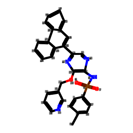 Cc1ccc(S(=O)(=O)Nc2ncc(-c3cc4ccccc4c4ccccc34)nc2OCc2cccnc2)cc1